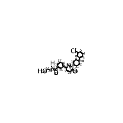 C[C@]1(c2cccc(Cl)c2)CC[C@H](n2nc(-c3cccc(C(=O)NCCO)c3)ccc2=O)CC1